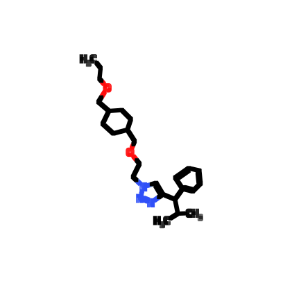 CCCOCC1CCC(COCCn2cc(C(c3ccccc3)C(C)C)nn2)CC1